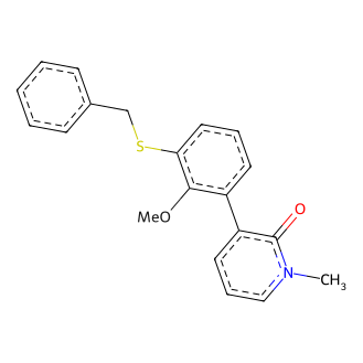 COc1c(SCc2ccccc2)cccc1-c1cccn(C)c1=O